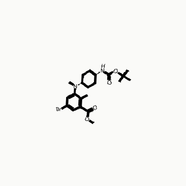 COC(=O)c1cc(Br)cc(N(C)[C@H]2CC[C@@H](NC(=O)OC(C)(C)C)CC2)c1C